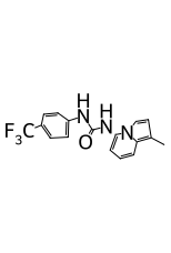 Cc1ccn2c(NC(=O)Nc3ccc(C(F)(F)F)cc3)cccc12